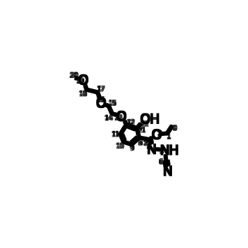 CCOC(=NNC#N)c1cccc(OCCOCCOC)c1O